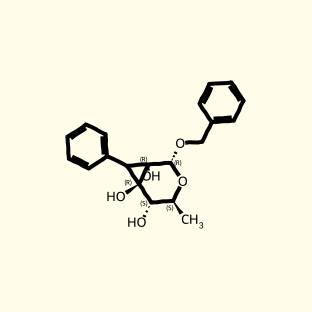 C[C@@H]1O[C@@H](OCc2ccccc2)[C@@]2(O)C(c3ccccc3)[C@@]2(O)[C@H]1O